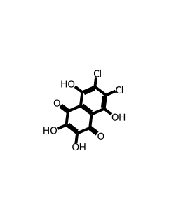 O=C1C(O)=C(O)C(=O)c2c(O)c(Cl)c(Cl)c(O)c21